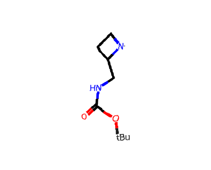 CC(C)(C)OC(=O)NCC1CC[N]1